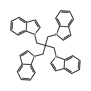 c1ccc2c(c1)ccn2CC(Cn1ccc2ccccc21)(Cn1ccc2ccccc21)Cn1ccc2ccccc21